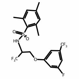 Cc1cc(C)c(S(=O)(=O)NC(COc2cc(F)cc(C(F)(F)F)c2)C(F)(F)F)c(C)c1